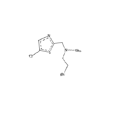 CC(C)(C)CCN(Cc1ncc(Cl)s1)C(C)(C)C